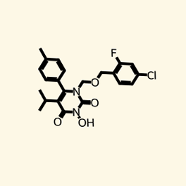 Cc1ccc(-c2c(C(C)C)c(=O)n(O)c(=O)n2COCc2ccc(Cl)cc2F)cc1